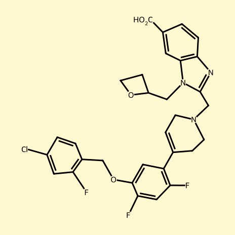 O=C(O)c1ccc2nc(CN3CC=C(c4cc(OCc5ccc(Cl)cc5F)c(F)cc4F)CC3)n(CC3CCO3)c2c1